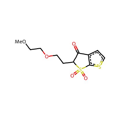 COCCOCCC1C(=O)c2ccsc2S1(=O)=O